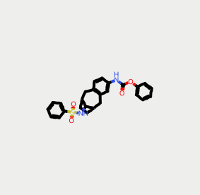 O=C(Nc1ccc2c(c1)CC1CCC(C2)C1NS(=O)(=O)c1ccccc1)Oc1ccccc1